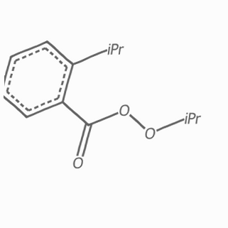 CC(C)OOC(=O)c1ccccc1C(C)C